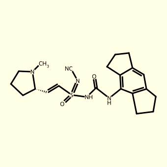 CN1CCC[C@H]1/C=C/S(=O)(=NC#N)NC(=O)Nc1c2c(cc3c1CCC3)CCC2